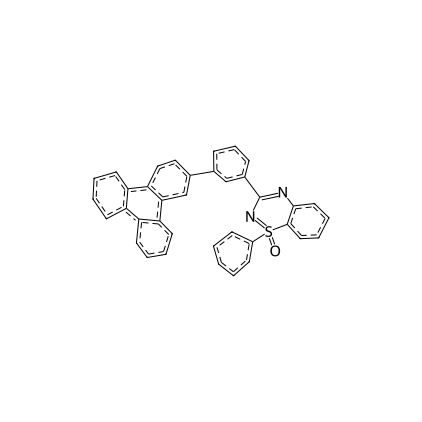 O=S1(c2ccccc2)=NC(c2cccc(-c3ccc4c5ccccc5c5ccccc5c4c3)c2)=Nc2ccccc21